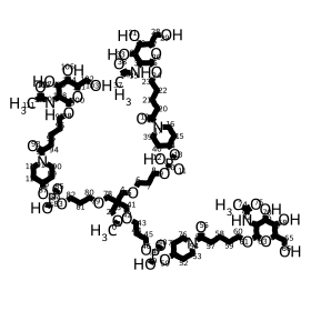 COCC(COCCCOP(=O)(O)OC1CCN(C(=O)CCCCOC2OC(CO)C(O)C(O)C2NC(C)=O)CC1)(COCCCOP(=O)(O)OC1CCN(C(=O)CCCCOC2OC(CO)C(O)C(O)C2NC(C)=O)CC1)COCCCOP(=O)(O)OC1CCN(C(=O)CCCCOC2OC(CO)C(O)C(O)C2NC(C)=O)CC1